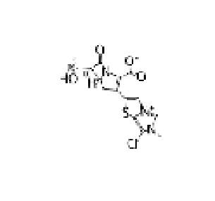 C[C@@H](O)[C@H]1C(=O)N2C(C(=O)[O-])=C(c3c[n+]4cn(C)c(Cl)c4s3)C[C@H]12